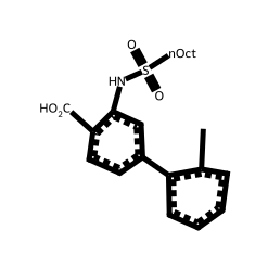 CCCCCCCCS(=O)(=O)Nc1cc(-c2ccccc2C)ccc1C(=O)O